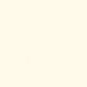 CSC(=O)C1(C)/C=C/CC(C(=O)NC(C)(C)C)CCC1